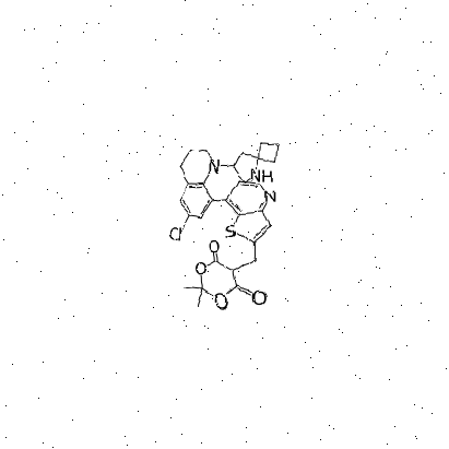 CC1(C)OC(=O)C(Cc2cc3nccc(-c4cc(Cl)cc5c4N(C4CNC6(CCC6)C4)CCC5)c3s2)C(=O)O1